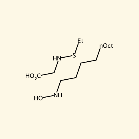 CCCCCCCCCCCCNO.CCSNCC(=O)O